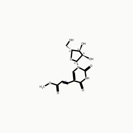 COC(=O)/C=C/c1cn([C@@H]2O[C@H](CO)[C@@H](O)[C@H]2O)c(=O)[nH]c1=O